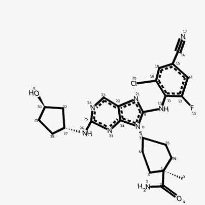 C[C@]1(C(N)=O)CC[C@H](n2c(Nc3c(F)cc(C#N)cc3Cl)nc3cnc(N[C@@H]4CC[C@@H](O)C4)nc32)CC1